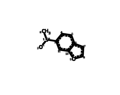 C[S+]([O-])c1ccc2[c]coc2c1